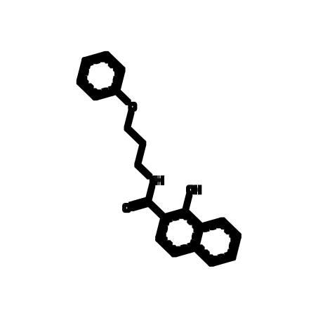 O=C(NCCCOc1ccccc1)c1ccc2ccccc2c1O